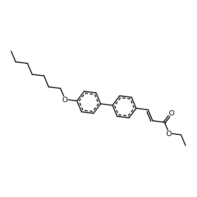 CCCCCCCOc1ccc(-c2ccc(C=CC(=O)OCC)cc2)cc1